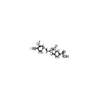 COc1cc(C=CC(=O)Oc2ccc(C(=O)O)cc2OC)ccc1O